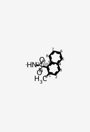 Cc1ccc2ccccc2c1S([NH])(=O)=O